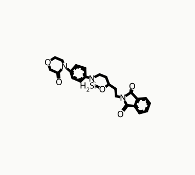 O=C1c2ccccc2C(=O)N1CCC1CCN(c2ccc(N3CCOCC3=O)cc2)[SiH2]O1